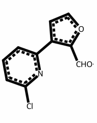 O=[C]c1occc1-c1cccc(Cl)n1